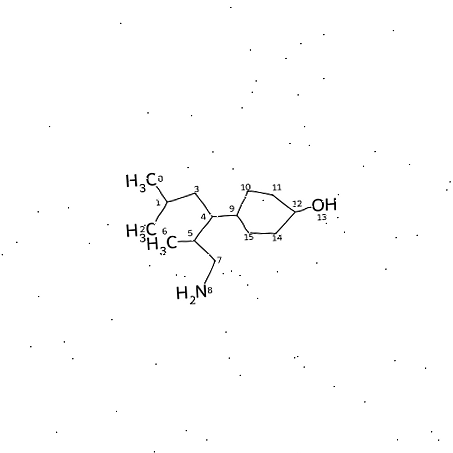 CC(C)CC(C(C)CN)C1CCC(O)CC1